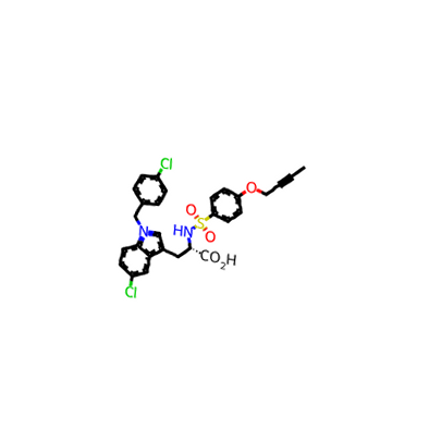 CC#CCOc1ccc(S(=O)(=O)N[C@@H](Cc2cn(Cc3ccc(Cl)cc3)c3ccc(Cl)cc23)C(=O)O)cc1